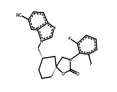 N#Cc1ccc2ncn(C[C@H]3CCC[C@]4(C3)CN(c3c(F)cccc3F)C(=O)O4)c2c1